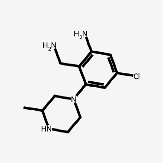 CC1CN(c2cc(Cl)cc(N)c2CN)CCN1